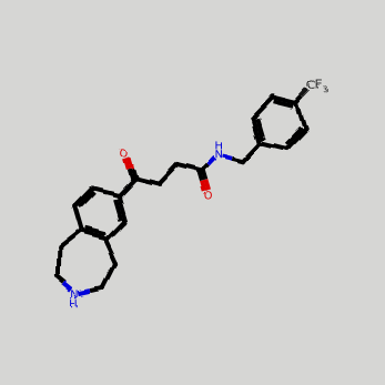 O=C(CCC(=O)c1ccc2c(c1)CCNCC2)NCc1ccc(C(F)(F)F)cc1